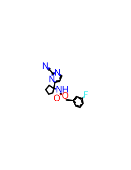 N#Cc1nccc(C2(NC(=O)OCc3cccc(F)c3)CCCC2)n1